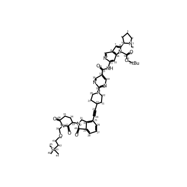 CN1CCC[C@@H]1c1cc2cnc(NC(=O)c3cnc(N4CCC(C#Cc5cccc6c5CN(C5CCC(=O)N(COCC[Si](C)(C)C)C5=O)C6=O)CC4)nc3)cc2n1C(=O)OC(C)(C)C